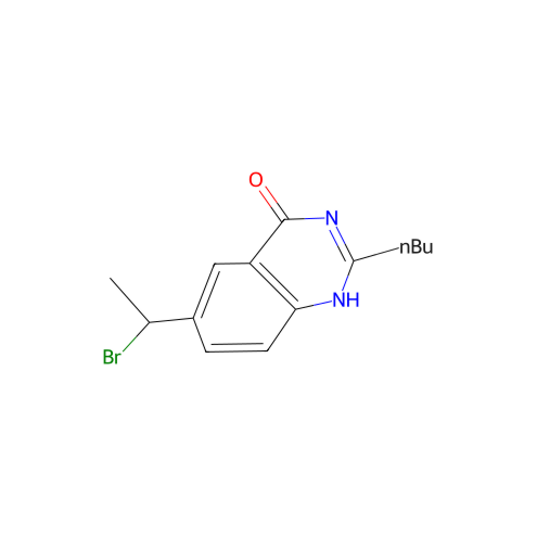 CCCCc1nc(=O)c2cc(C(C)Br)ccc2[nH]1